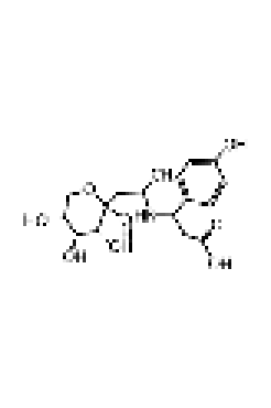 CC(C[C@@]1(O)OC[C@@H](O)[C@H](O)[C@H]1O)NC(CC(=O)O)c1ccc(O)cc1